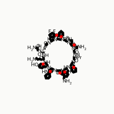 CCCC[C@H]1C(=O)N2CCC[C@@H]2C(=O)N[C@@H](CC(N)=O)C(=O)N[C@@H](C(C)C)C(=O)N(C)[C@@H](Cc2ccccc2)C(=O)N[C@@H](Cc2ccc(CN)cc2)C(O)N2CCC[C@@H]2C(=O)N[C@@H](Cc2c[nH]c3ccccc23)C(=O)N[C@@H](Cc2ccc(O)cc2)C(=O)N[C@@H](CCCCN)C(=O)N[C@H](C(=O)NCC(N)=O)CSCC(=O)N[C@@H](Cc2cc(F)c(F)c(F)c2)C(=O)N(C)[C@@H](Cc2ccccc2)C(=O)N1C